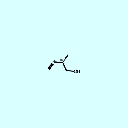 C=N[C@@H](C)CO